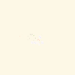 COc1cc(-c2cnc(N)c(-c3ccc(N4CC(C)=CC=C4c4cn(CC5CCOCC5)ccc4=O)cc3F)c2)ccc1OC[C@H]1COCCO1